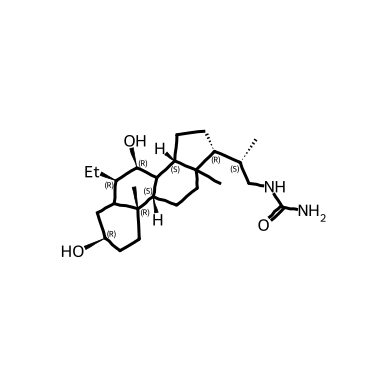 CC[C@@H]1C2C[C@H](O)CC[C@@]2(C)[C@H]2CCC3(C)[C@@H]([C@H](C)CNC(N)=O)CC[C@H]3C2[C@@H]1O